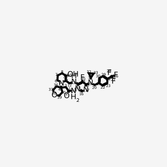 NC(=O)CC1(N2CCC[C@@H](O)C2CNc2ncnc(N(Cc3ccc(C(F)(F)F)cc3)C3CC3)c2F)CCOCC1